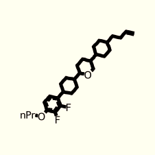 C=CCCC1CCC(C2CCC(C3CCC(c4ccc(OCCC)c(F)c4F)CC3)OC2)CC1